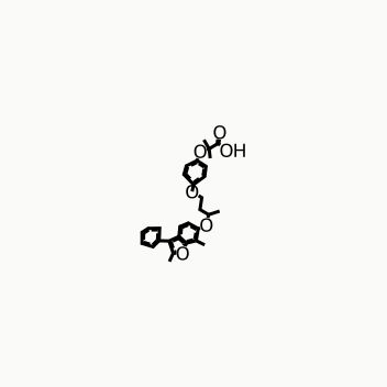 Cc1oc2c(C)c(OC(C)CCOc3ccc(OC(C)(C)C(=O)O)cc3)ccc2c1-c1ccccc1